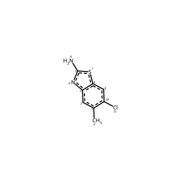 Cc1cc2nc(N)sc2cc1Cl